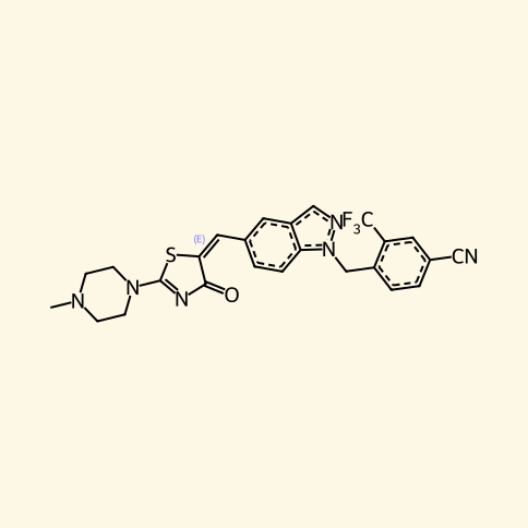 CN1CCN(C2=NC(=O)/C(=C\c3ccc4c(cnn4Cc4ccc(C#N)cc4C(F)(F)F)c3)S2)CC1